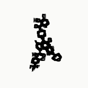 C[C@H]1C[C@@H](C(=O)Nc2ccc(C(F)(F)F)cc2Cl)n2c1c(N1CCN(C(=O)c3nccc(Cl)c3O)CC1)c(=O)n1nc(N3CCOCC3)nc21